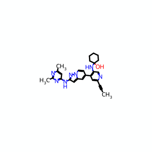 CC#Cc1cc(-c2ccn3nc(Nc4cc(C)nc(C)n4)cc3c2)c(NC2(O)CCCCC2)cn1